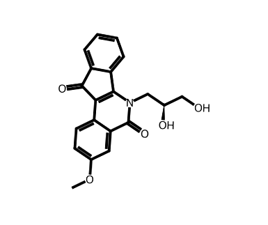 COc1ccc2c3c(n(C[C@H](O)CO)c(=O)c2c1)-c1ccccc1C3=O